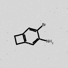 Nc1cc2c(cc1Br)CC2